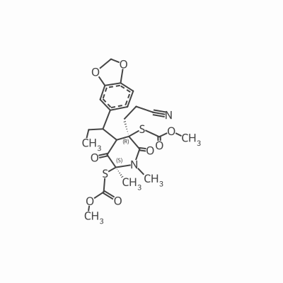 CCC(c1ccc2c(c1)OCO2)C1C(=O)[C@](C)(SC(=O)OC)N(C)C(=O)[C@]1(CCC#N)SC(=O)OC